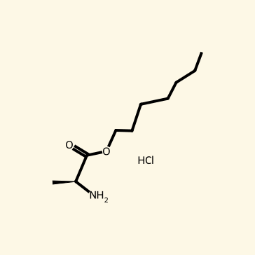 CCCCCCCOC(=O)[C@H](C)N.Cl